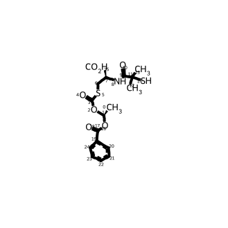 C[C@H](OC(=O)SC[C@H](NC(=O)C(C)(C)S)C(=O)O)OC(=O)c1ccccc1